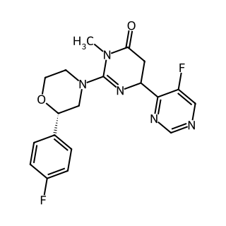 CN1C(=O)CC(c2ncncc2F)N=C1N1CCO[C@@H](c2ccc(F)cc2)C1